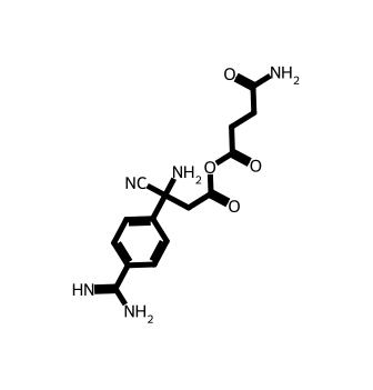 N#CC(N)(CC(=O)OC(=O)CCC(N)=O)c1ccc(C(=N)N)cc1